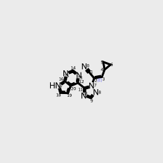 N#C/C(=C\C1CC1)n1ncnc1-c1ncnc2[nH]ccc12